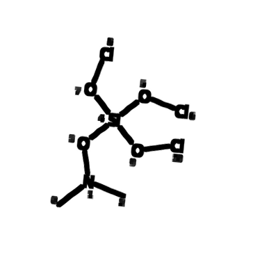 CN(C)O[Si](OCl)(OCl)OCl